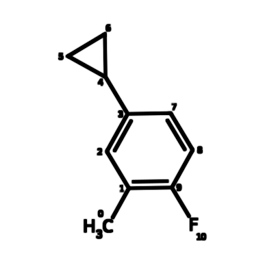 Cc1cc(C2CC2)ccc1F